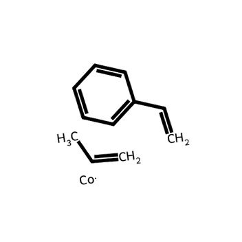 C=CC.C=Cc1ccccc1.[Co]